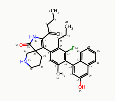 C=C(CCC)C1=C(c2cc(C)c(-c3cc(O)cc4ccccc34)c(F)c2CCC)C2(CCCNC2)C(=O)N1